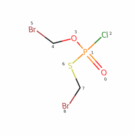 O=P(Cl)(OCBr)SCBr